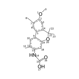 COc1cc2c(cc1C)-c1cc(C)c(NC(=O)O)cc1OC2(C)C